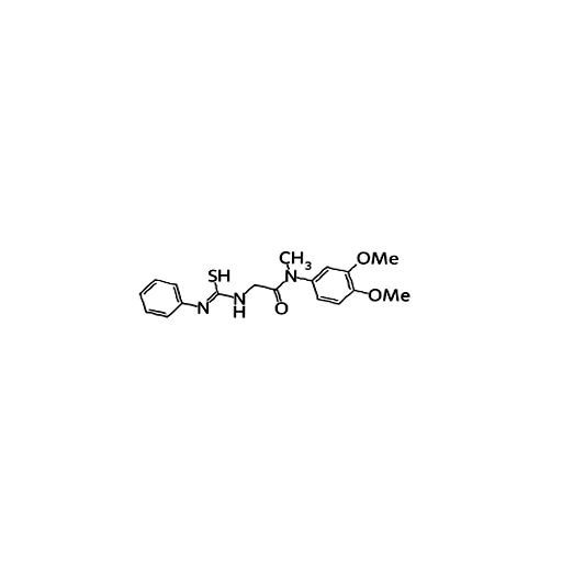 COc1ccc(N(C)C(=O)CNC(S)=Nc2ccccc2)cc1OC